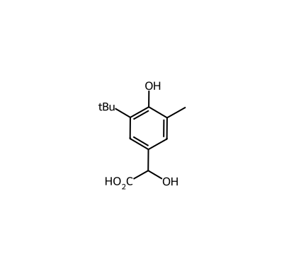 Cc1cc(C(O)C(=O)O)cc(C(C)(C)C)c1O